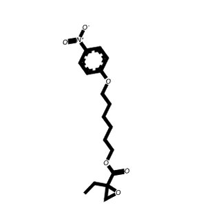 CCC1(C(=O)OCCCCCCOc2ccc([N+](=O)[O-])cc2)CO1